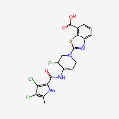 Cc1[nH]c(C(=O)NC2CCN(c3nc4cccc(C(=O)O)c4s3)CC2F)c(Cl)c1Cl